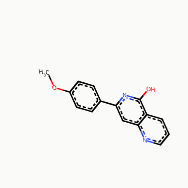 COc1ccc(-c2cc3ncccc3c(O)n2)cc1